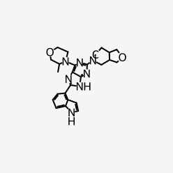 CC1COCCN1c1nc(N2CCC3COCC3C2)nc2[nH]c(-c3cccc4[nH]ccc34)nc12